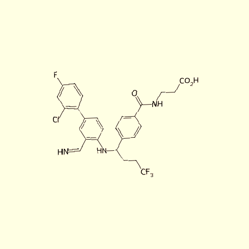 N=Cc1cc(-c2ccc(F)cc2Cl)ccc1NC(CCC(F)(F)F)c1ccc(C(=O)NCCC(=O)O)cc1